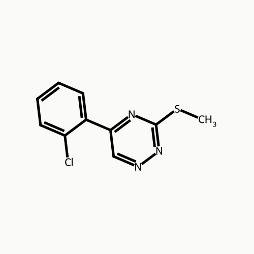 CSc1nncc(-c2ccccc2Cl)n1